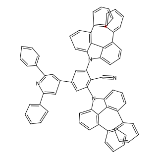 N#Cc1c(-n2c3cccc(-c4ccccc4)c3c3c(-c4ccccc4)cccc32)cc(-c2cc(-c3ccccc3)nc(-c3ccccc3)c2)cc1-n1c2cccc(-c3ccccc3)c2c2c(-c3ccccc3)cccc21